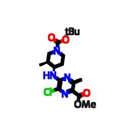 COC(=O)c1nc(Cl)c(N[C@H]2CCN(C(=O)OC(C)(C)C)C[C@@H]2C)nc1C